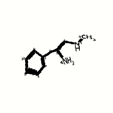 CN/C=C(\N)Cc1ccccc1